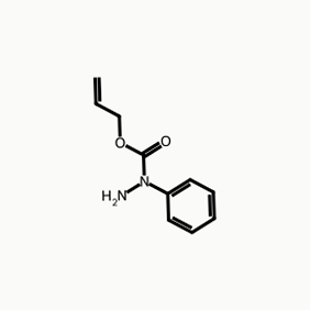 C=CCOC(=O)N(N)c1ccccc1